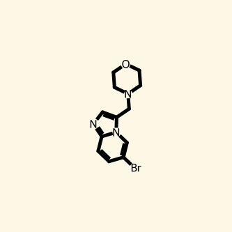 Brc1ccc2ncc(CN3CCOCC3)n2c1